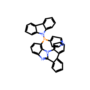 c1cc(P(c2ccncc2)n2c3ccccc3c3ccccc32)c2c(c1)nc1c3ccccc3c3ccccc3n12